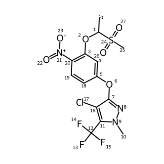 [CH2]C(Oc1cc(Oc2nn(C)c(C(F)(F)F)c2Cl)ccc1[N+](=O)[O-])S(C)(=O)=O